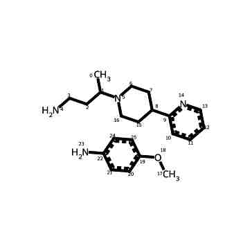 CC(CCN)N1CCC(c2ccccn2)CC1.COc1ccc(N)cc1